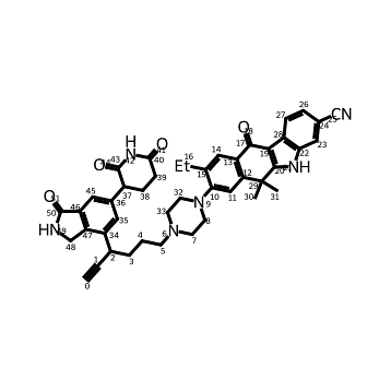 C#CC(CCCN1CCN(c2cc3c(cc2CC)C(=O)c2c([nH]c4cc(C#N)ccc24)C3(C)C)CC1)c1cc(C2CCC(=O)NC2=O)cc2c1CNC2=O